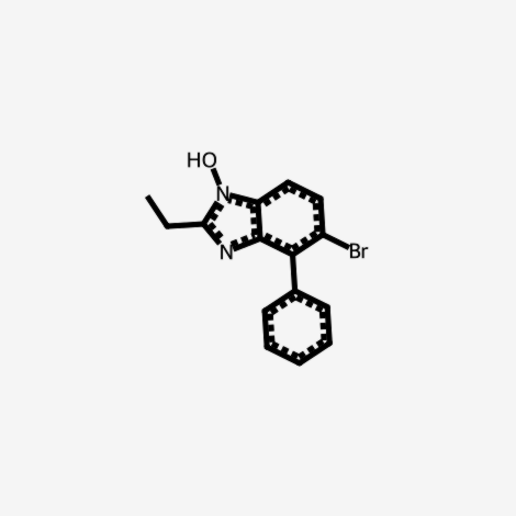 CCc1nc2c(-c3ccccc3)c(Br)ccc2n1O